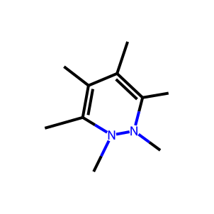 CC1=C(C)N(C)N(C)C(C)=C1C